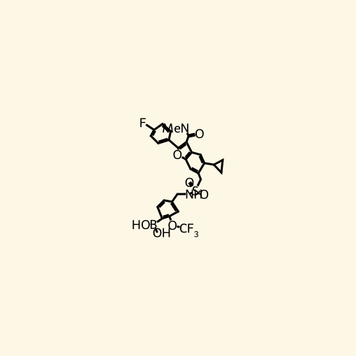 CNC(=O)c1c(-c2ccc(F)cc2)oc2cc(CS(=O)(=O)NCc3ccc(B(O)O)c(OC(F)(F)F)c3)c(C3CC3)cc12